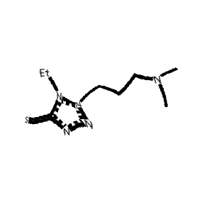 CCn1c(=S)nnn1CCCN(C)C